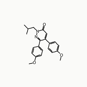 COc1ccc(-c2cc(=O)n(CC(C)C)nc2-c2ccc(OC)cc2)cc1